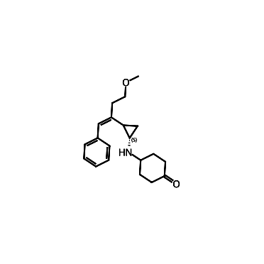 COCCC(=Cc1ccccc1)C1C[C@@H]1NC1CCC(=O)CC1